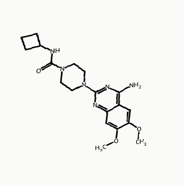 COc1cc2nc(N3CCN(C(=O)NC4CCC4)CC3)nc(N)c2cc1OC